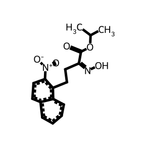 CC(C)OC(=O)C(CCc1c([N+](=O)[O-])ccc2ccccc12)=NO